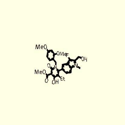 CCc1c(O)c(C(=O)OC)c(=O)n(Cc2ccc(OC)cc2OC)c1-c1ccc2c(c1)c(F)c(CO)n2C